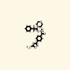 O=C(NC[C@H]1COCCN1C(=O)C(F)(F)c1ccccc1)c1ccc(-c2noc(C(F)(F)F)n2)cc1